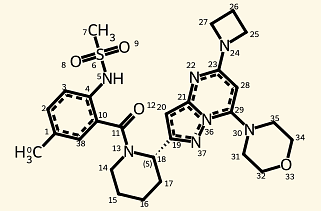 Cc1ccc(NS(C)(=O)=O)c(C(=O)N2CCCC[C@H]2c2cc3nc(N4CCC4)cc(N4CCOCC4)n3n2)c1